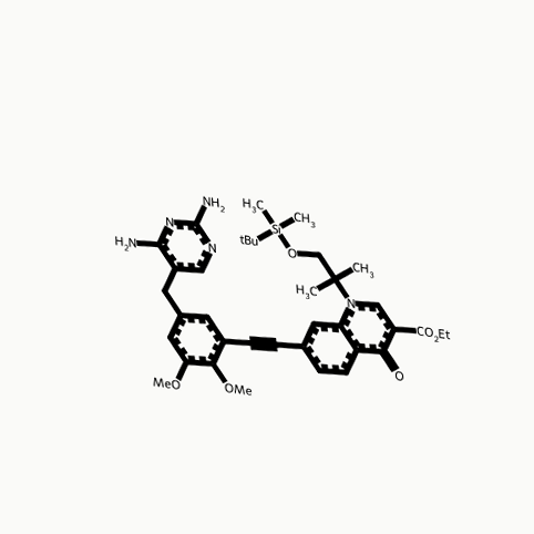 CCOC(=O)c1cn(C(C)(C)CO[Si](C)(C)C(C)(C)C)c2cc(C#Cc3cc(Cc4cnc(N)nc4N)cc(OC)c3OC)ccc2c1=O